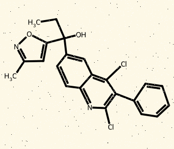 CCC(O)(c1ccc2nc(Cl)c(-c3ccccc3)c(Cl)c2c1)c1cc(C)no1